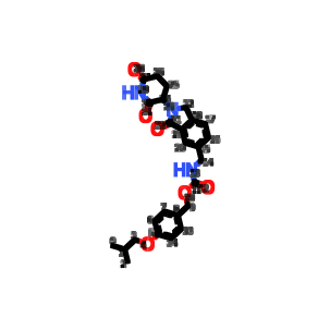 CC(C)COc1ccc(COC(=O)NCc2ccc3c(c2)C(=O)N(C2CCC(=O)NC2=O)C3)cc1